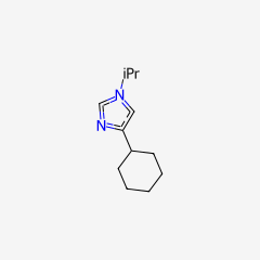 CC(C)n1cnc(C2CCCCC2)c1